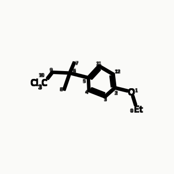 CCOc1ccc(C(C)(C)CC(Cl)(Cl)Cl)cc1